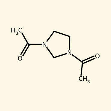 CC(=O)N1CCN(C(C)=O)C1